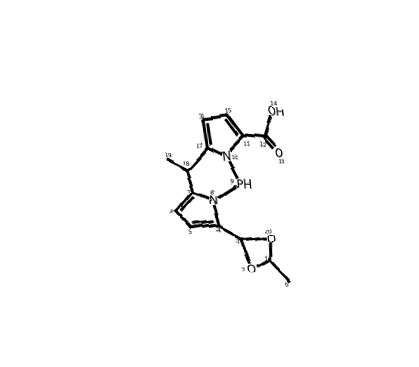 CC1OC(c2ccc3n2Pn2c(C(=O)O)ccc2C3C)O1